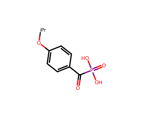 CC(C)Oc1ccc(C(=O)P(=O)(O)O)cc1